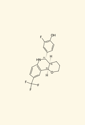 Oc1ccc([C@H]2Nc3ccc(C(F)(F)F)cc3[C@@H]3OCCC[C@H]23)cc1F